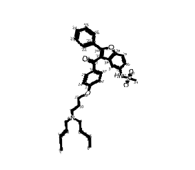 CCCCN(CCCC)CCCOc1ccc(C(=O)c2c(-c3ccccc3)oc3ccc(NS(C)(=O)=O)cc23)cc1